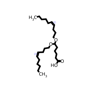 CCCCC/C=C\CCCOC(CCCCC(=O)O)OCCC/C=C\CCCCC